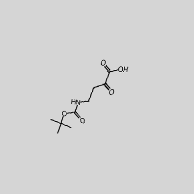 CC(C)(C)OC(=O)NCCC(=O)C(=O)O